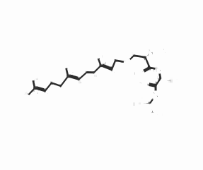 CC[C@H](C)[C@H](NC(=O)[C@H](NC(=O)[C@H](CSC/C=C(\C)CC/C=C(\C)CCC=C(C)C)NC(C)=O)C(C)C)C(=O)O